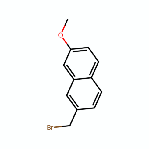 COc1ccc2ccc(CBr)cc2c1